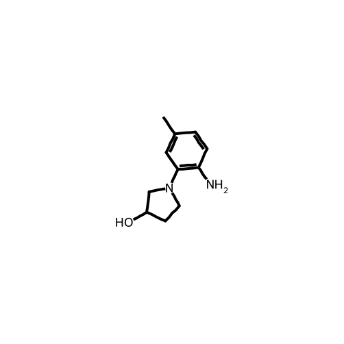 Cc1ccc(N)c(N2CCC(O)C2)c1